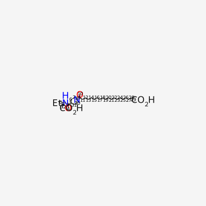 CCC(NC(=O)C1CCN(C(=O)CCCCCCCCCCCCCCCCCCC(=O)O)CC1)C(=O)O